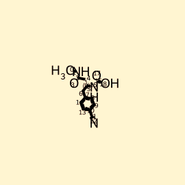 CNC(=O)C[C@@H](Cc1ccc(C#N)cc1)NC(=O)O